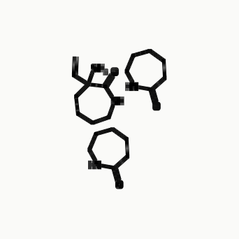 C=CC1([SiH3])CCCCNC1=O.O=C1CCCCCN1.O=C1CCCCCN1